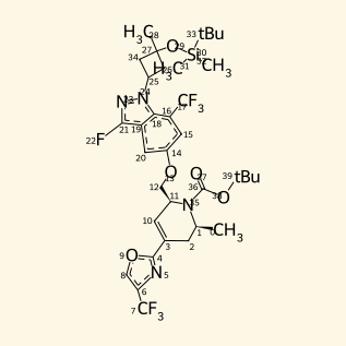 C[C@H]1CC(c2nc(C(F)(F)F)co2)=C[C@@H](COc2cc(C(F)(F)F)c3c(c2)c(F)nn3C2CC(C)(O[Si](C)(C)C(C)(C)C)C2)N1C(=O)OC(C)(C)C